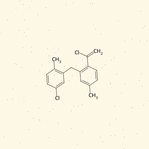 C=C(Cl)c1ccc(C)cc1Cc1cc(Cl)ccc1C